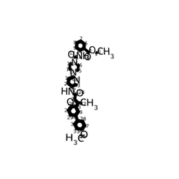 CCOC(=O)c1ccccc1NC(=O)N1CCN(c2ccc(NC(=O)c3oc4ccc(-c5ccc(OC)cc5)cc4c3C)cn2)CC1